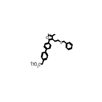 CCOC(=O)Cc1ccc(-c2ccc(-c3onc(C)c3CCSCc3ccccc3)cc2)cc1